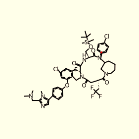 C[C@H]1C(=O)N[C@@H](CO[Si](C)(C)C(C)(C)C)C(=O)N(C)[C@@]2(Cc3ccc(Cl)cc3)CCCCN(C2)C(=O)[C@H](CC(F)(F)F)CC(=O)N1Cc1c(F)cc(Cl)cc1Oc1ccc(-c2cnc(CN(C)C)n2C)cc1